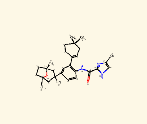 CC1(C)CC=C(c2cc(C3(C#N)C[C@]4(C)CC[C@](C)(C3)O4)ccc2NC(=O)c2nc(C#N)c[nH]2)CC1